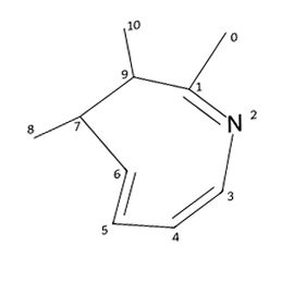 C/C1=N/C=C\C=C\C(C)C1C